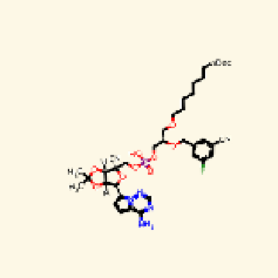 CCCCCCCCCCCCCCCCCOC[C@H](COP(=O)(O)OC[C@@]1(C#N)O[C@@H](c2ccc3c(N)ncnn23)[C@@H]2OC(C)(C)O[C@@H]21)OCc1cc(F)cc(C#N)c1